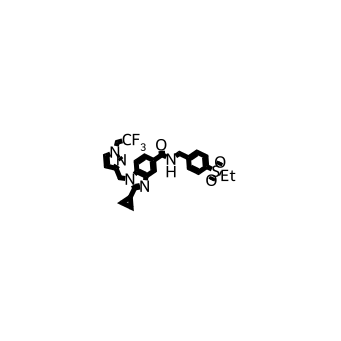 CCS(=O)(=O)c1ccc(CNC(=O)c2ccc3c(c2)nc(C2CC2)n3Cc2ccn(CC(F)(F)F)n2)cc1